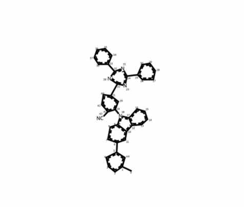 Cc1cccc(-c2ccc3c(c2)c2ccccc2n3-c2cc(-c3nc(-c4ccccc4)nc(-c4ccccc4)n3)ccc2C#N)c1